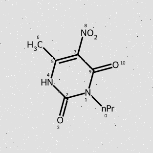 CCCn1c(=O)[nH]c(C)c([N+](=O)[O-])c1=O